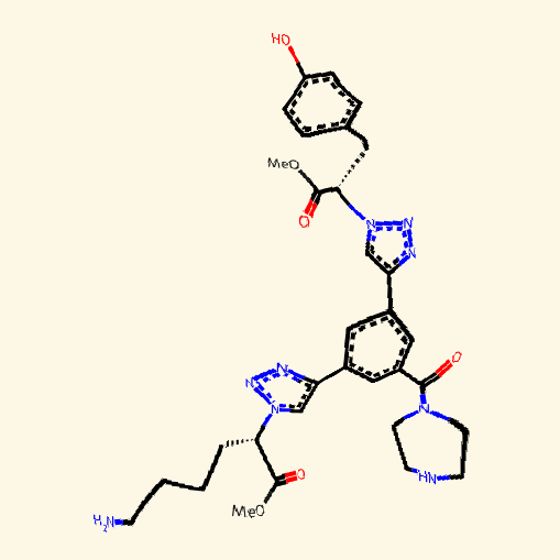 COC(=O)[C@H](CCCCN)n1cc(-c2cc(C(=O)N3CCNCC3)cc(-c3cn([C@@H](Cc4ccc(O)cc4)C(=O)OC)nn3)c2)nn1